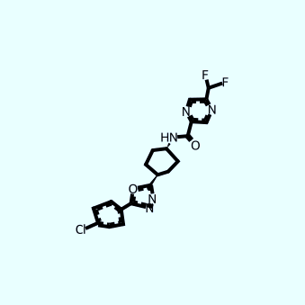 O=C(N[C@H]1CC[C@H](c2nnc(-c3ccc(Cl)cc3)o2)CC1)c1cnc(C(F)F)cn1